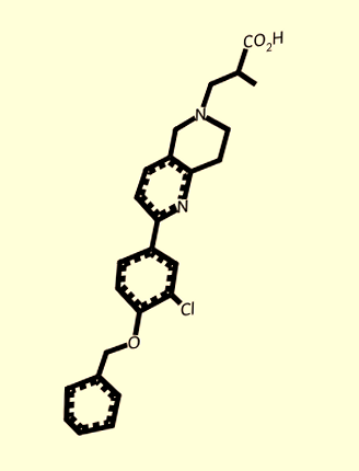 CC(CN1CCc2nc(-c3ccc(OCc4ccccc4)c(Cl)c3)ccc2C1)C(=O)O